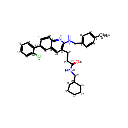 COc1ccc(CNc2nc3ccc(-c4ccccc4Cl)cc3cc2CCC(=O)NCC2CCCCC2)cc1